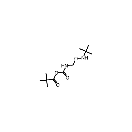 CC(C)(C)NOCNC(=O)OC(=O)C(C)(C)C